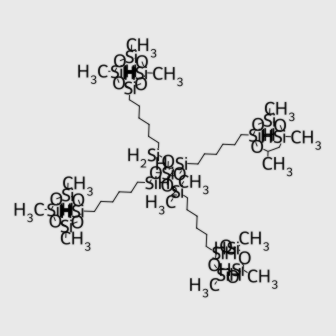 CC1C[SiH](C)O[SiH](C)O[SiH](CCCCCC[SiH2]O[Si](O[SiH2]CCCCCC[SiH]2O[SiH](C)O[SiH](C)O[SiH](C)O2)(O[SiH2]CCCCCC[SiH]2O[SiH](C)O[SiH](C)O[SiH](C)O2)O[Si](C)(C)CCCCCC[SiH]2O[SiH](C)O[SiH](C)O[SiH](C)O2)O1